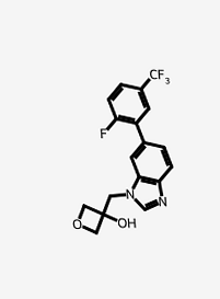 OC1(Cn2cnc3ccc(-c4cc(C(F)(F)F)ccc4F)cc32)COC1